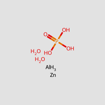 O.O.O=P(O)(O)O.[AlH3].[Zn]